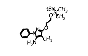 Cc1c(OCCO[Si](C)(C)C(C)(C)C)nn(-c2ccccc2)c1N